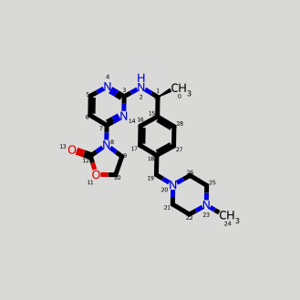 C[C@H](Nc1nccc(N2CCOC2=O)n1)c1ccc(CN2CCN(C)CC2)cc1